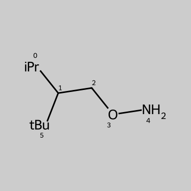 CC(C)C(CON)C(C)(C)C